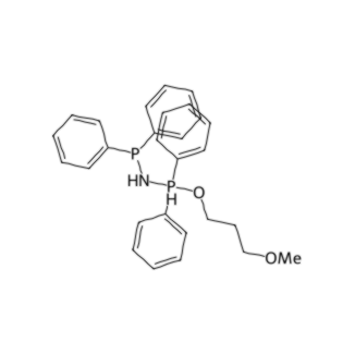 COCCCO[PH](NP(c1ccccc1)c1ccccc1)(c1ccccc1)c1ccccc1